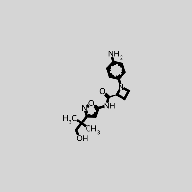 CC(C)(CO)c1cc(NC(=O)[C@@H]2CCN2c2ccc(N)cc2)on1